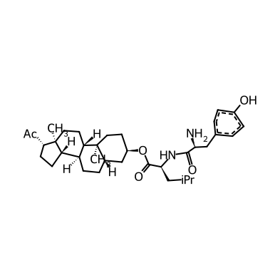 CC(=O)[C@H]1CC[C@H]2[C@@H]3CC[C@H]4C[C@H](OC(=O)[C@H](CC(C)C)NC(=O)[C@@H](N)Cc5ccc(O)cc5)CC[C@]4(C)[C@H]3CC[C@]12C